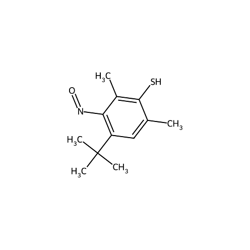 Cc1cc(C(C)(C)C)c(N=O)c(C)c1S